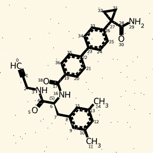 C#CCNC(=O)[C@H](Cc1cc(C)cc(C)c1)NC(=O)c1ccc(-c2ccc(C3(C(N)=O)CC3)cc2)cc1